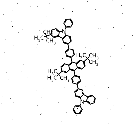 CC(C)(C)c1ccc2c(-c3ccc(-c4ccc5c(c4)c4cc(C(C)(C)C)ccc4n5-c4ccccc4)cc3)c3cc(C(C)(C)C)ccc3c(-c3ccc(-c4ccc5c(c4)c4ccccc4n5-c4ccccc4)cc3)c2c1